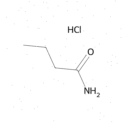 CCCC(N)=O.Cl